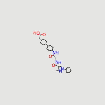 Cc1nn(-c2ccccc2)cc1C(=O)NCCC(=O)Nc1ccc(C2CCC(CC(=O)O)CC2)cc1